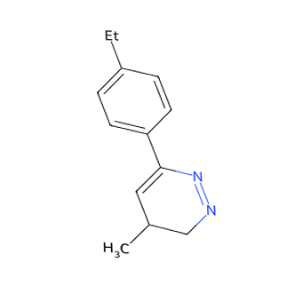 CCc1ccc(C2=CC(C)CN=N2)cc1